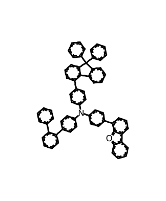 c1ccc(-c2ccccc2-c2ccc(N(c3ccc(-c4cccc5c4-c4ccccc4C5(c4ccccc4)c4ccccc4)cc3)c3ccc(-c4cccc5c4oc4ccccc45)cc3)cc2)cc1